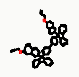 C#CCOc1ccc2ccc(C3(c4ccc(-c5ccc(C6(c7ccc8cc(OCC=C)ccc8c7)c7ccccc7-c7ccccc76)cc5)cc4)c4ccccc4-c4ccccc43)cc2c1